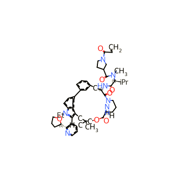 C=CC(=O)N1CCC(C(=O)N(C)[C@H](C(=O)N[C@H]2Cc3cccc(c3)-c3ccc4c(c3)c(c(-c3cccnc3[C@@H]3CCCO3)n4CC)CC(C)(C)COC(=O)[C@@H]3CCCN(N3)C2=O)C(C)C)C1